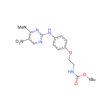 CNc1nc(Nc2ccc(OCCNC(=O)OC(C)(C)C)cc2)ncc1[N+](=O)[O-]